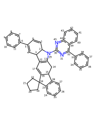 C1=CC2C(C=C1c1ccccc1)C1=C(CC3C(=C1)C1(CCCC1)c1ccccc13)N2c1nc(-c2ccccc2)c2ccccc2n1